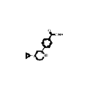 COC(=O)c1ccc([C@@H]2C[C@@H](C3CC3)CCN2)cc1